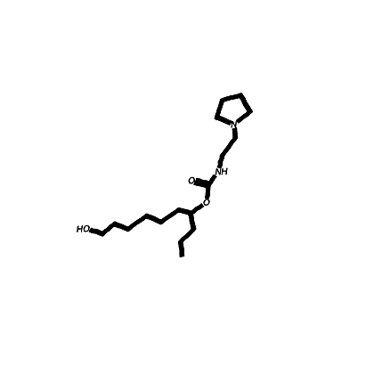 CCCC(CCCCCCO)OC(=O)NCCN1CCCC1